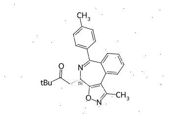 Cc1ccc(C2=N[C@@H](CC(=O)C(C)(C)C)c3onc(C)c3-c3ccccc32)cc1